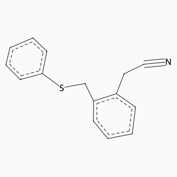 N#CCc1ccccc1CSc1ccccc1